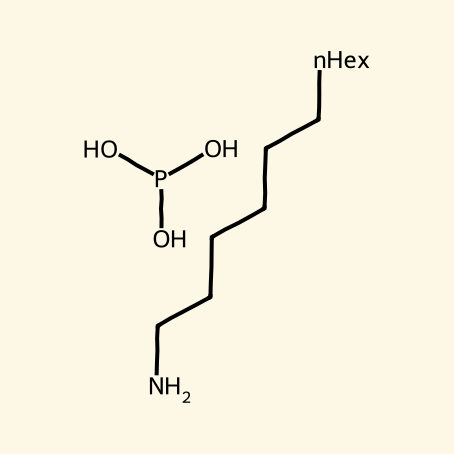 CCCCCCCCCCCCN.OP(O)O